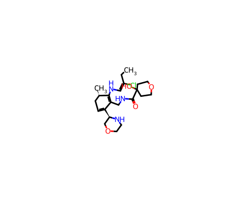 CC/C(Cl)=C\NC1=C(CNC(=O)C2(O)CCOCC2)C([C@@H]2COCCN2)=CC[C@@H]1C